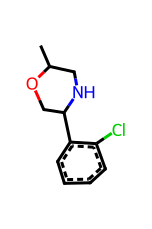 CC1CNC(c2ccccc2Cl)CO1